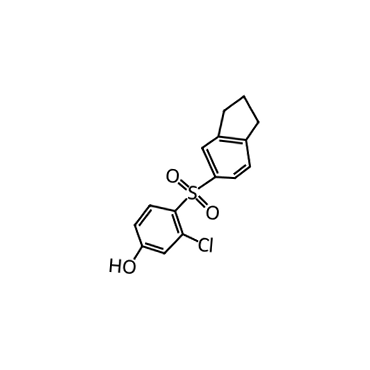 O=S(=O)(c1ccc2c(c1)CCC2)c1ccc(O)cc1Cl